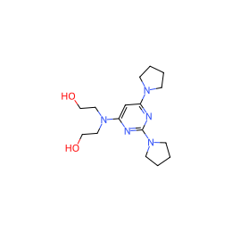 OCCN(CCO)c1cc(N2CCCC2)nc(N2CCCC2)n1